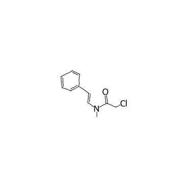 CN(C=Cc1ccccc1)C(=O)CCl